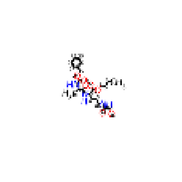 CCCCOC(=O)C(CCCNC(=O)C=O)NC(=O)C(C)NC(=O)OCc1ccccc1